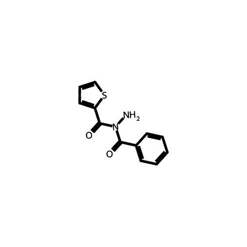 NN(C(=O)c1ccccc1)C(=O)c1cccs1